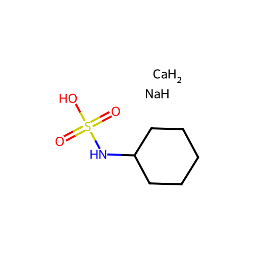 O=S(=O)(O)NC1CCCCC1.[CaH2].[NaH]